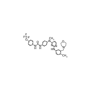 Cc1ccc(Nc2nccc(N(C)c3ccc(NC(=O)Nc4ccc(OC(F)(F)F)cc4)cc3)n2)cc1CN1CCOCC1